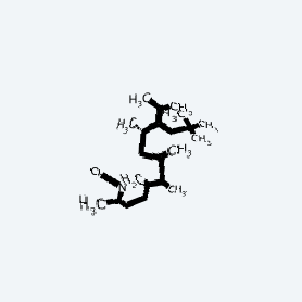 C=C(/C=C\C(C)N=O)C(C)C(C)C[C@H](C)C(CC(C)(C)C)C(C)C